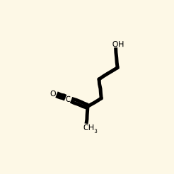 CC(=C=O)CCCO